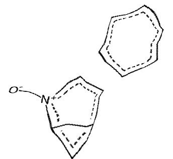 [O-][n+]1ccc2cc1-2.c1ccccc1